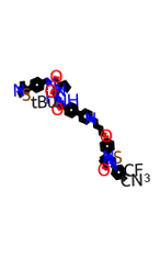 Cc1ncsc1-c1ccc(CNC(=O)[C@@H]2CCCN2C(=O)C(NC(=O)c2ccc(C3CCN(CCCCOc4ccc(N5C(=S)N(c6ccc(C#N)c(C(F)(F)F)c6)C(=O)C5(C)C)cc4)CC3)cc2)C(C)(C)C)cc1